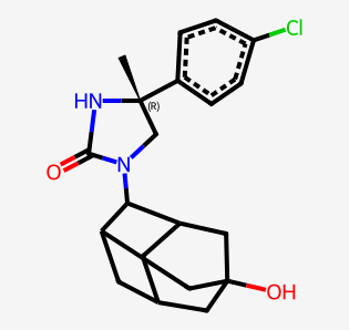 C[C@@]1(c2ccc(Cl)cc2)CN(C2C3CC4CC2CC(O)(C4)C3)C(=O)N1